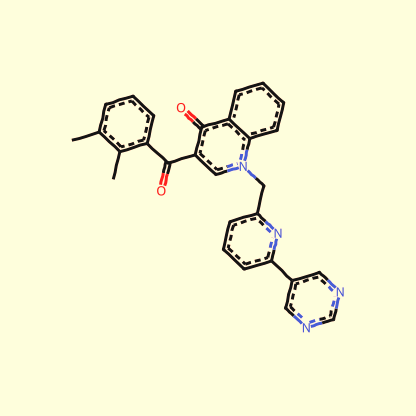 Cc1cccc(C(=O)c2cn(Cc3cccc(-c4cncnc4)n3)c3ccccc3c2=O)c1C